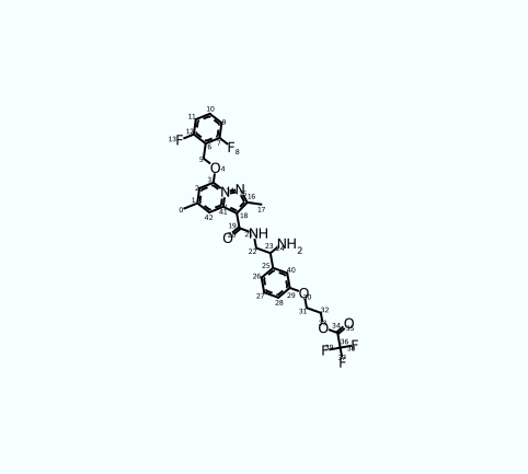 Cc1cc(OCc2c(F)cccc2F)n2nc(C)c(C(=O)NCC(N)c3cccc(OCCOC(=O)C(F)(F)F)c3)c2c1